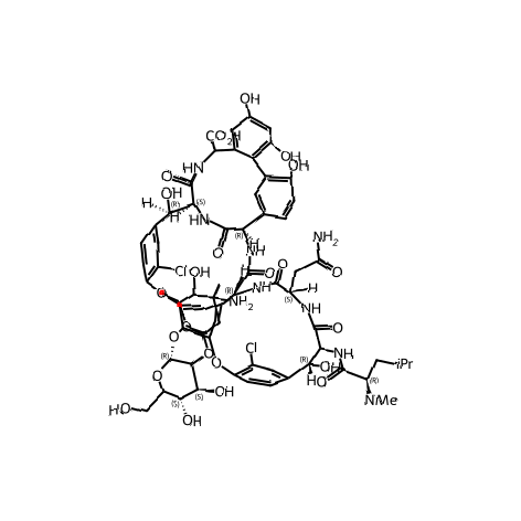 CN[C@H](CC(C)C)C(=O)NC1C(=O)N[C@@H](CC(N)=O)C(=O)N[C@H]2C(=O)N[C@H]3C(=O)N[C@H](C(=O)NC(C(=O)O)c4cc(O)cc(O)c4-c4cc3ccc4O)[C@H](O)c3ccc(c(Cl)c3)Oc3cc2cc(c3O[C@H]2OC(CO)[C@@H](O)[C@H](O)C2OC2CC(C)(N)C(O)C(C)O2)Oc2ccc(cc2Cl)[C@H]1O